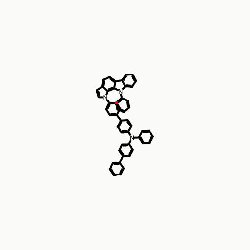 c1ccc(-c2ccc(N(c3ccccc3)c3ccc(-c4ccc(-n5ccc6ccc7c8ccccc8n(-c8ccccc8)c7c65)cc4)cc3)cc2)cc1